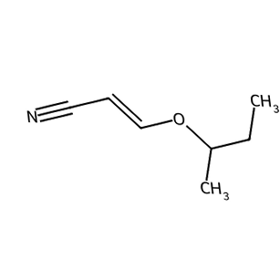 CCC(C)OC=CC#N